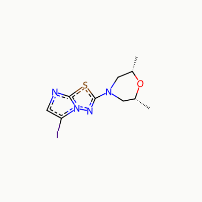 C[C@@H]1CN(c2nn3c(I)cnc3s2)C[C@H](C)O1